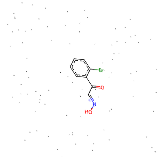 O=C(/C=N/O)c1ccccc1Br